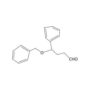 O=CCCC(OCc1ccccc1)c1ccccc1